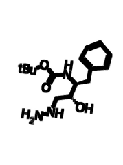 CC(C)(C)OC(=O)N[C@@H](Cc1ccccc1)[C@H](O)CNN